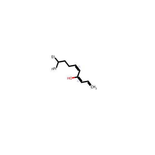 C=C/C=C(O)\C=C/CCC(CC)CCC